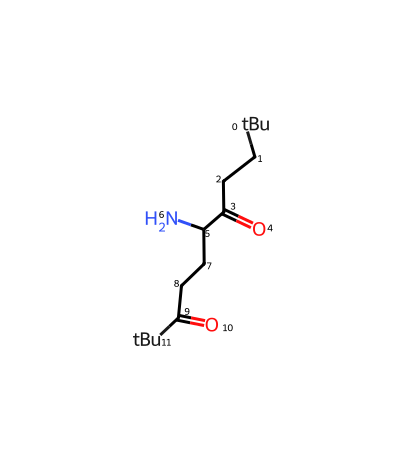 CC(C)(C)CCC(=O)C(N)CCC(=O)C(C)(C)C